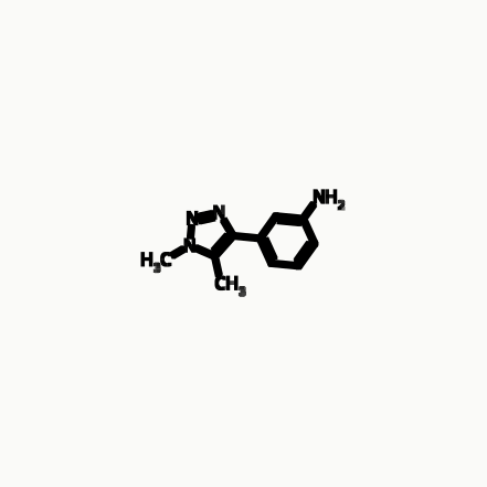 Cc1c(-c2cccc(N)c2)nnn1C